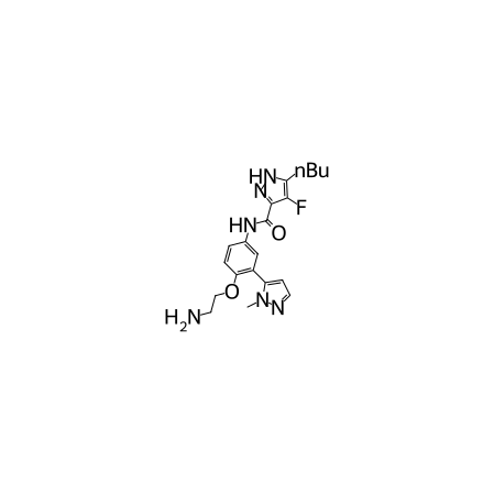 CCCCc1[nH]nc(C(=O)Nc2ccc(OCCN)c(-c3ccnn3C)c2)c1F